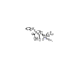 CO/N=C(/C(=O)NC1C(=O)N2C(C(=O)O)=C(CSc3nc4ccccc4s3)CS[C@H]12)c1csc(NC=O)n1